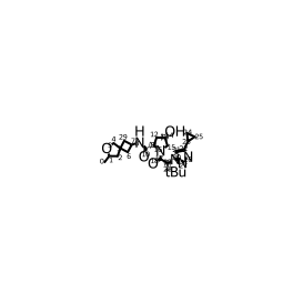 CC1CC2(CO1)CC(NC(=O)[C@@H]1C[C@@H](O)CN1C(=O)[C@@H](n1cc(C3CC3)nn1)C(C)(C)C)C2